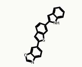 c1ccc2[nH]c(-c3ccc4cc(-c5ccc6ncoc6c5)sc4c3)cc2c1